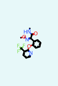 CNC(=O)C(=NOC)c1ccccc1Oc1ncccc1C(F)(F)F